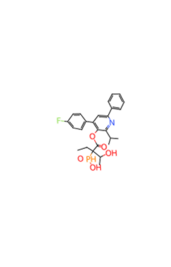 CCC(C(=O)Oc1c(-c2ccc(F)cc2)cc(-c2ccccc2)nc1C(C)C)(C(C)O)[PH](=O)O